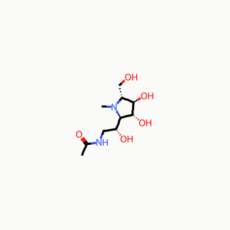 CC(=O)NC[C@@H](O)[C@@H]1[C@@H](O)[C@H](O)[C@@H](CO)N1C